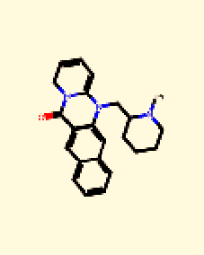 CC(C)N1CCCCC1CN1C2=CC=CCN2C(=O)c2cc3ccccc3cc21